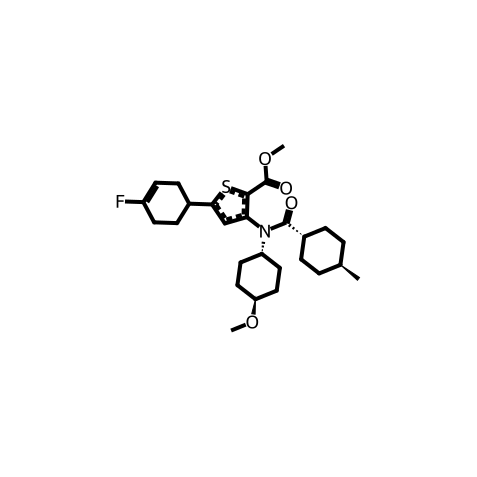 COC(=O)c1sc(C2CC=C(F)CC2)cc1N(C(=O)[C@H]1CC[C@H](C)CC1)[C@H]1CC[C@H](OC)CC1